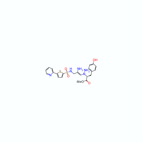 COC(=O)[C@H](Cc1ccc(O)cc1)N(N)/C=C(\N)CNS(=O)(=O)c1ccc(-c2ccccn2)s1